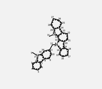 Cn1c2ccccc2c2ccc(Cn3c4ccccc4c4ccc5c6ccccc6n(C)c5c43)cc21